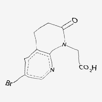 O=C(O)CN1C(=O)CCc2cc(Br)cnc21